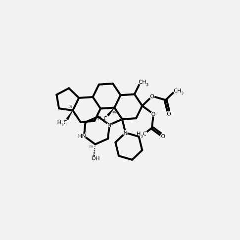 CC(=O)OC1(OC(C)=O)CC(N2CCCCC2)(N2CCN[C@@H](O)C2)[C@]2(C)C3CC[C@]4(C)CCCC4C3CCC2C1C